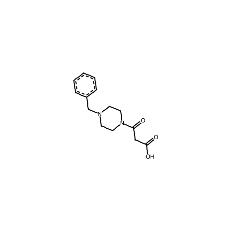 O=C(O)CC(=O)N1CCN(Cc2ccccc2)CC1